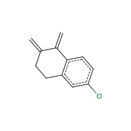 C=C1CCc2cc(Cl)ccc2C1=C